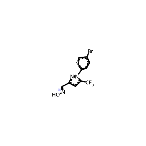 O/N=C/c1cc(C(F)(F)F)n(-c2ccc(Br)cn2)n1